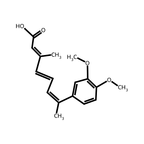 COc1ccc(\C(C)=C/C=C/C(C)=C/C(=O)O)cc1OC